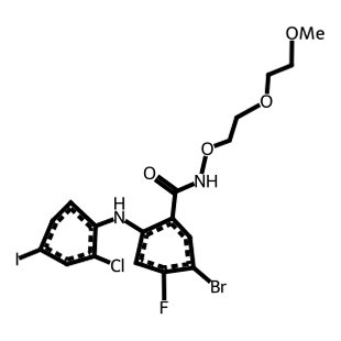 COCCOCCONC(=O)c1cc(Br)c(F)cc1Nc1ccc(I)cc1Cl